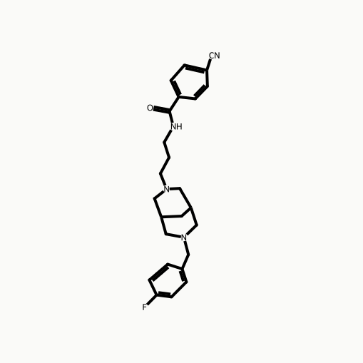 N#Cc1ccc(C(=O)NCCCN2CC3CC(C2)CN(Cc2ccc(F)cc2)C3)cc1